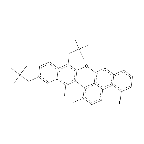 Cc1c2c(c(CC(C)(C)C)c3ccc(CC(C)(C)C)cc13)Oc1cc3cccc(F)c3c3cc[n+](C)c-2c13